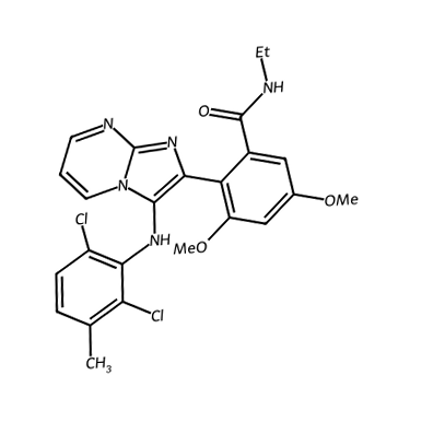 CCNC(=O)c1cc(OC)cc(OC)c1-c1nc2ncccn2c1Nc1c(Cl)ccc(C)c1Cl